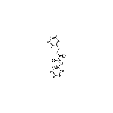 O=C(CCc1ccccc1)C(=O)Cc1ccccc1